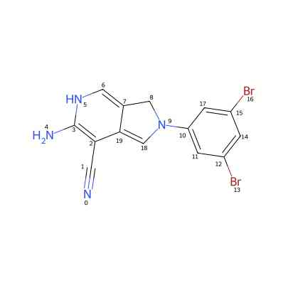 N#CC1=C(N)NC=C2CN(c3cc(Br)cc(Br)c3)C=C21